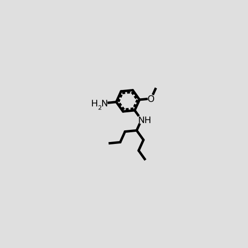 CCCC(CCC)Nc1cc(N)ccc1OC